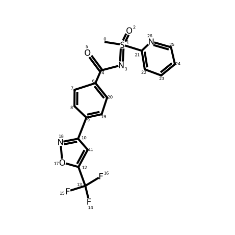 CS(=O)(=NC(=O)c1ccc(-c2cc(C(F)(F)F)on2)cc1)c1ccccn1